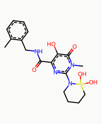 Cc1ccccc1CNC(=O)c1nc(N2CCCCS2(O)O)n(C)c(=O)c1O